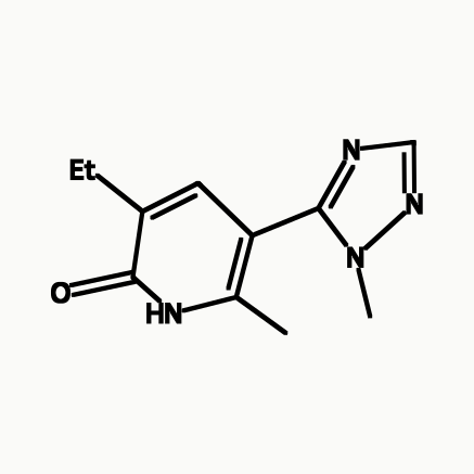 CCc1cc(-c2ncnn2C)c(C)[nH]c1=O